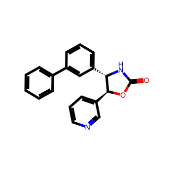 O=C1N[C@@H](c2cccc(-c3ccccc3)c2)[C@H](c2cccnc2)O1